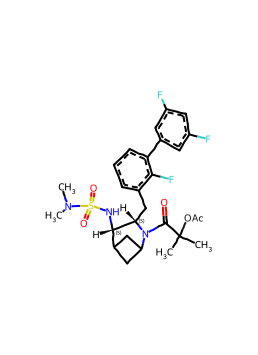 CC(=O)OC(C)(C)C(=O)N1C2CC(C2)[C@H](NS(=O)(=O)N(C)C)[C@@H]1Cc1cccc(-c2cc(F)cc(F)c2)c1F